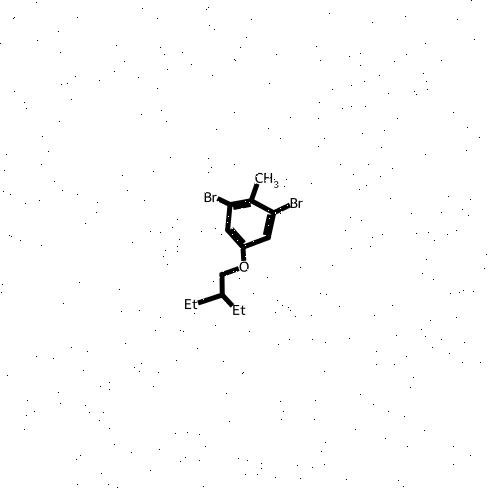 CCC(CC)COc1cc(Br)c(C)c(Br)c1